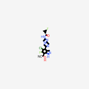 N#CC(O)c1c(F)c(Cl)c(-c2cn3cc(NC(=O)[C@@H]4C[C@@H]4F)nc3cn2)c2cn[nH]c12